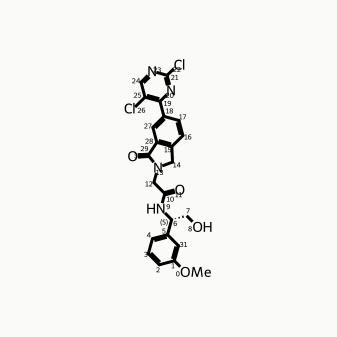 COc1cccc([C@@H](CO)NC(=O)CN2Cc3ccc(-c4nc(Cl)ncc4Cl)cc3C2=O)c1